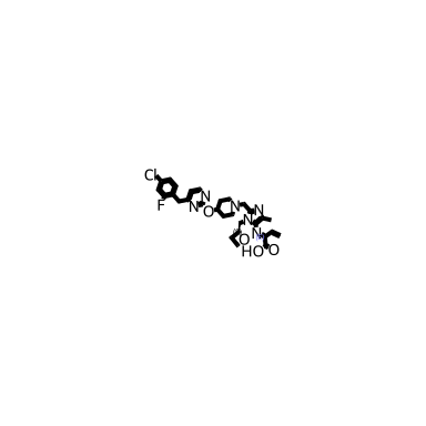 C=C/C(=N\c1c(C)nc(CN2CCC(Oc3nccc(Cc4ccc(Cl)cc4F)n3)CC2)n1C[C@@H]1CCO1)C(=O)O